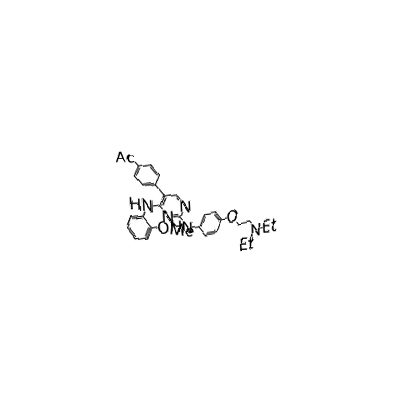 CCN(CC)CCOc1ccc(Nc2ncc(-c3ccc(C(C)=O)cc3)c(Nc3ccccc3OC)n2)cc1